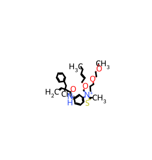 C=CC(C)(Cc1ccccc1)C(=O)Nc1cccc([N+](CCCOCCOC)(COCC=CCC)C(C)=S)c1